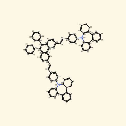 C1=CC2c3ccccc3-c3ccccc3N(c3ccc(/C=C/c4ccc5c(-c6ccccc6)c(-c6ccccc6)c6ccc(/C=C/c7ccc(N8C9=C(CCC=C9)c9ccccc9-c9ccccc98)cc7)cc6c5c4)cc3)C2C=C1